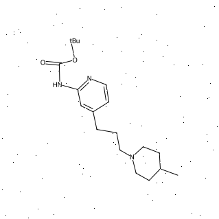 CC1CCN(CCCc2ccnc(NC(=O)OC(C)(C)C)c2)CC1